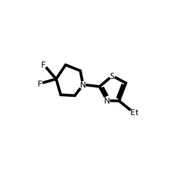 CCc1csc(N2CCC(F)(F)CC2)n1